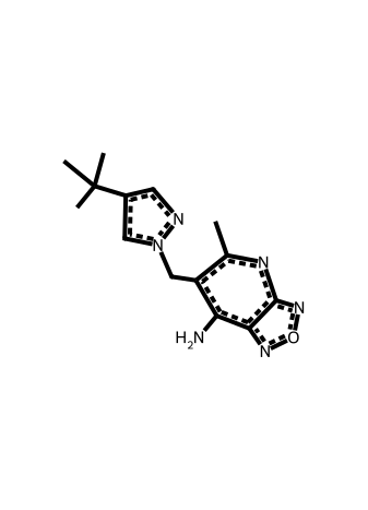 Cc1nc2nonc2c(N)c1Cn1cc(C(C)(C)C)cn1